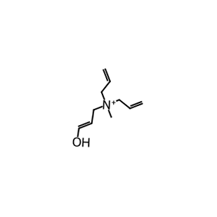 C=CC[N+](C)(CC=C)CC=CO